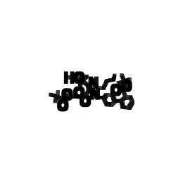 CCCCc1nc(C(C)(C)O)c(C(=O)OCOC(=O)C(C)(C)C)n1Cc1ccc(-c2ccccc2C(=O)OC(C)(C)C)cc1